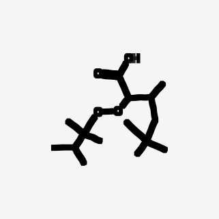 CC(CC(C)(C)C)C(OOC(C)(C)C(C)C)C(=O)O